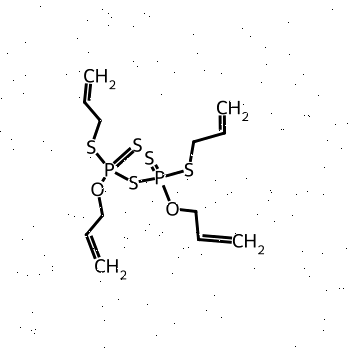 C=CCOP(=S)(SCC=C)SP(=S)(OCC=C)SCC=C